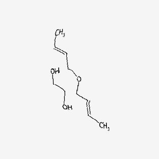 C/C=C/COC/C=C/C.OCCO